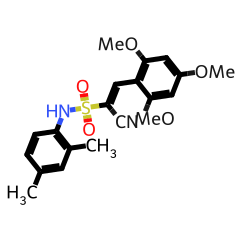 COc1cc(OC)c(C=C(C#N)S(=O)(=O)Nc2ccc(C)cc2C)c(OC)c1